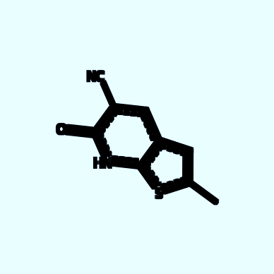 Cc1cc2cc(C#N)c(=O)[nH]c2s1